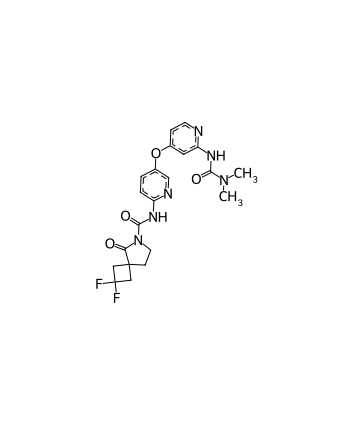 CN(C)C(=O)Nc1cc(Oc2ccc(NC(=O)N3CCC4(CC(F)(F)C4)C3=O)nc2)ccn1